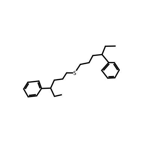 CCC(CCCSCCCC(CC)c1ccccc1)c1ccccc1